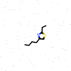 CCCCc1csc(CC)n1